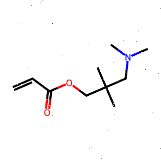 C=CC(=O)OCC(C)(C)CN(C)C